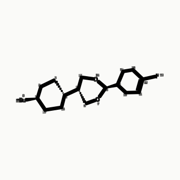 CCCC[C@H]1CC[C@H]([C@H]2CO[C@H](C3CC=C(F)CC3)OC2)CC1